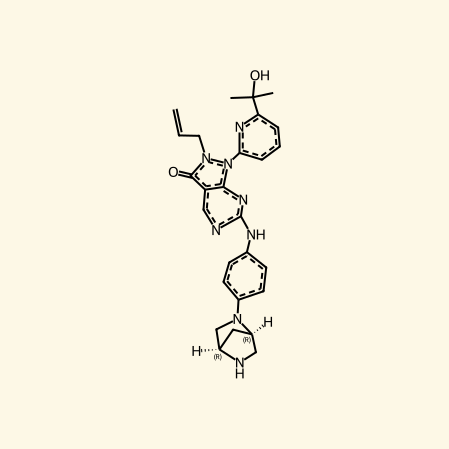 C=CCn1c(=O)c2cnc(Nc3ccc(N4C[C@H]5C[C@@H]4CN5)cc3)nc2n1-c1cccc(C(C)(C)O)n1